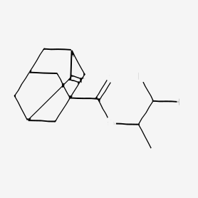 CC(OC(=O)C12CC3CC(C1)C(=O)C(C3)C2)C(F)F